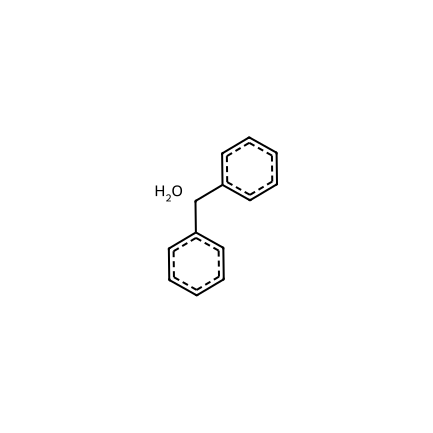 O.c1ccc(Cc2ccccc2)cc1